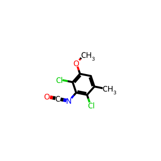 COc1cc(C)c(Cl)c(N=C=O)c1Cl